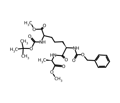 COC(=O)C(CCC[C@@H](NC(=O)OCc1ccccc1)C(=O)N[C@H](C)C(=O)OC)NC(=O)OC(C)(C)C